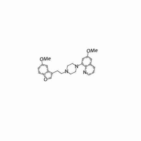 COc1cc(N2CCN(CCc3coc4ccc(OC)cc34)CC2)c2ncccc2c1